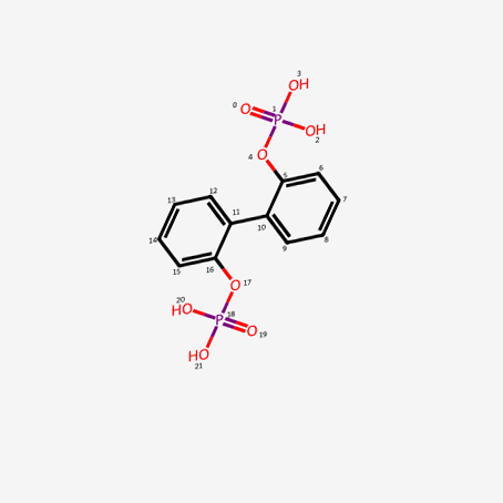 O=P(O)(O)Oc1ccccc1-c1ccccc1OP(=O)(O)O